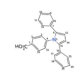 O=C(O)c1ccc(-n2c(-c3ccccc3)ccc2-c2ccccc2)cc1